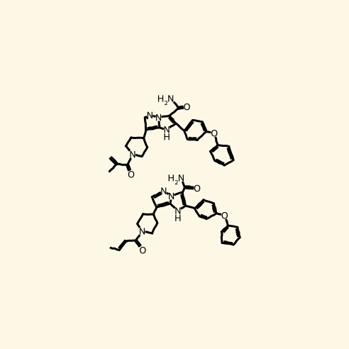 C=C(C)C(=O)N1CCC(c2cnn3c(C(N)=O)c(-c4ccc(Oc5ccccc5)cc4)[nH]c23)CC1.CC=CC(=O)N1CCC(c2cnn3c(C(N)=O)c(-c4ccc(Oc5ccccc5)cc4)[nH]c23)CC1